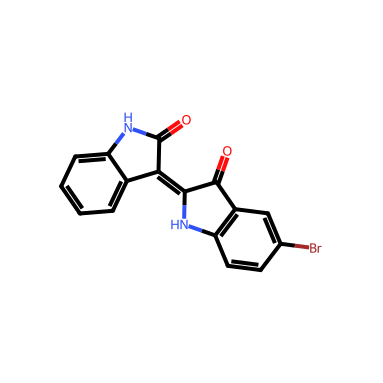 O=C1Nc2ccccc2C1=C1Nc2ccc(Br)cc2C1=O